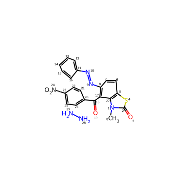 Cn1c(=O)sc2ccc(N=Nc3ccccc3)c(C(=O)c3ccc([N+](=O)[O-])cc3)c21.NN